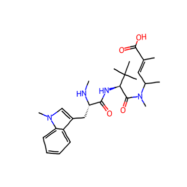 CN[C@@H](Cc1cn(C)c2ccccc12)C(=O)N[C@H](C(=O)N(C)C(C)/C=C(\C)C(=O)O)C(C)(C)C